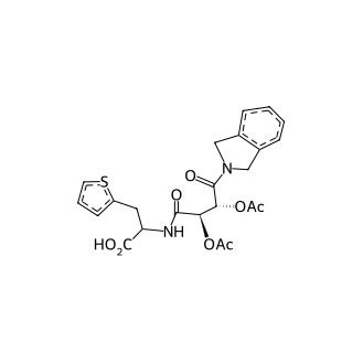 CC(=O)O[C@@H](C(=O)NC(Cc1cccs1)C(=O)O)[C@@H](OC(C)=O)C(=O)N1Cc2ccccc2C1